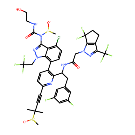 C[S+]([O-])N(C(=O)NCCO)c1nn(CC(F)(F)F)c2c(-c3ccc(C#CC(C)(C)[S+](C)[O-])nc3C(Cc3cc(F)cc(F)c3)NC(=O)Cn3nc(C(F)(F)F)c4c3C(F)(F)CC4)ccc(Cl)c12